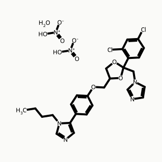 CCCCn1cncc1-c1ccc(OCC2COC(Cn3ccnc3)(c3ccc(Cl)cc3Cl)O2)cc1.O.O=[N+]([O-])O.O=[N+]([O-])O